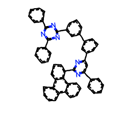 c1ccc(-c2cc(-c3cccc(-c4cccc(-c5nc(-c6ccccc6)nc(-c6ccccc6)n5)c4)c3)nc(-c3cccc4c5ccccc5c5ccccc5c34)n2)cc1